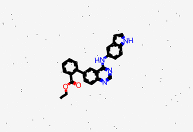 CCOC(=O)c1ccccc1-c1ccc2ncnc(Nc3ccc4[nH]ccc4c3)c2c1